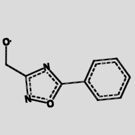 [O]Cc1noc(-c2ccccc2)n1